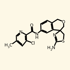 Cc1cnc(C(=O)Nc2ccc3c(c2)C2(COC3)CSC(N)=N2)c(Cl)c1